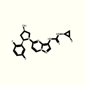 O[C@@H]1C[C@H](c2cc(F)ccc2F)N(c2ccn3ncc(NC(=S)N[C@H]4C[C@H]4F)c3n2)C1